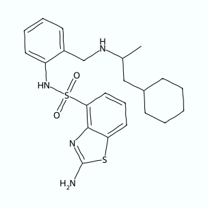 CC(CC1CCCCC1)NCc1ccccc1NS(=O)(=O)c1cccc2sc(N)nc12